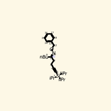 CCCC/C(CCC#C[Si](C(C)C)(C(C)C)C(C)C)=N\OCc1ccccc1